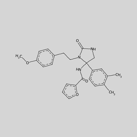 COc1ccc(CCN2C(=O)NCC2(NC(=O)c2ccco2)c2ccc(C)c(C)c2)cc1